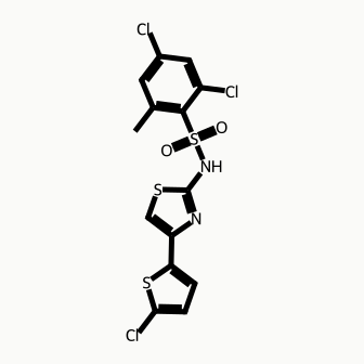 Cc1cc(Cl)cc(Cl)c1S(=O)(=O)Nc1nc(-c2ccc(Cl)s2)cs1